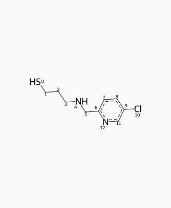 SCCCNCc1ccc(Cl)cn1